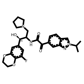 CC(C)n1cc2ccc(C(=O)C(=O)NC(CN3CCCC3)[C@H](O)c3cc(F)c4c(c3)OCCO4)cc2n1